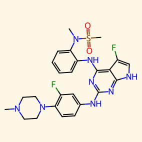 CN1CCN(c2ccc(Nc3nc(Nc4ccccc4N(C)S(C)(=O)=O)c4c(F)c[nH]c4n3)cc2F)CC1